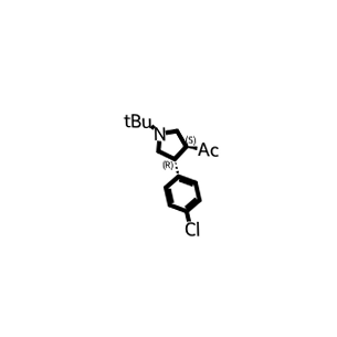 CC(=O)[C@@H]1CN(C(C)(C)C)C[C@H]1c1ccc(Cl)cc1